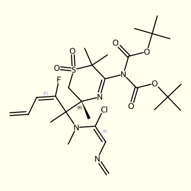 C=C/C=C(/F)C(C)(N(C)/C(Cl)=C\N=C)[C@]1(C)CS(=O)(=O)C(C)(C)C(N(C(=O)OC(C)(C)C)C(=O)OC(C)(C)C)=N1